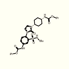 CC(C)OC(=O)Nc1ccc(-n2ccn([C@H]3CC[C@@H](NC(=O)OC(C)C)CC3)c2=O)c(S(=O)(=O)NC(C)(C)C)c1